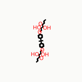 CC=CC(=O)C(O)C(O)COc1ccc(C(C)(C)c2ccc(OCC(O)C(O)C(=O)C=CC)cc2)cc1